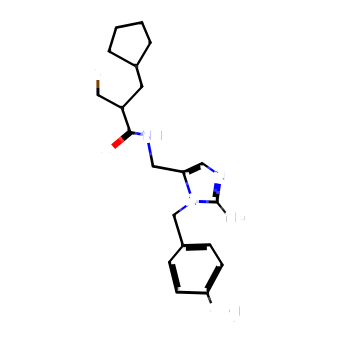 CCCCc1ncc(CNC(=O)C(CS)CC2CCCC2)n1Cc1ccc(C(=O)O)cc1